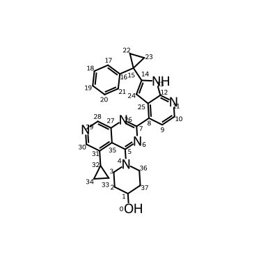 OC1CCN(c2nc(-c3ccnc4[nH]c(C5(c6ccccc6)CC5)cc34)nc3cncc(C4CC4)c23)CC1